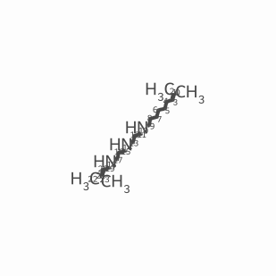 CC(C)=CCCCCCCNCCCNCCCNCC=C(C)C